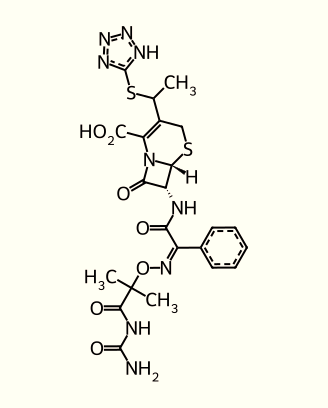 CC(Sc1nnn[nH]1)C1=C(C(=O)O)N2C(=O)[C@@H](NC(=O)/C(=N\OC(C)(C)C(=O)NC(N)=O)c3ccccc3)[C@H]2SC1